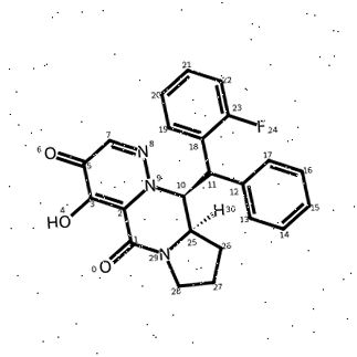 O=C1c2c(O)c(=O)cnn2[C@@H](C(c2ccccc2)c2ccccc2F)[C@H]2CCCN12